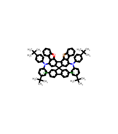 CC(C)(C)c1ccc(N(c2ccc(C(C)(C)C)cc2)c2cc3c(c4oc5ccccc5c24)-c2c(cc(N(c4ccc(C(C)(C)C)cc4)c4ccc(C(C)(C)C)cc4)c4c2sc2ccccc24)C32c3cc(Cl)ccc3-c3ccc(Cl)cc32)cc1